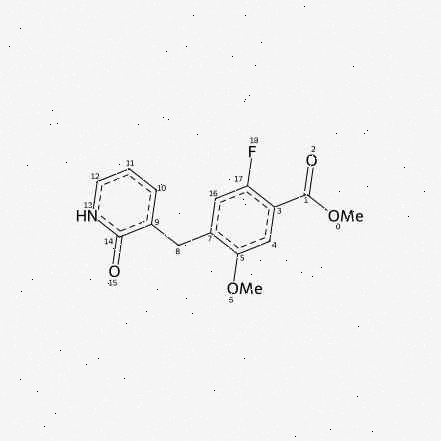 COC(=O)c1cc(OC)c(Cc2ccc[nH]c2=O)cc1F